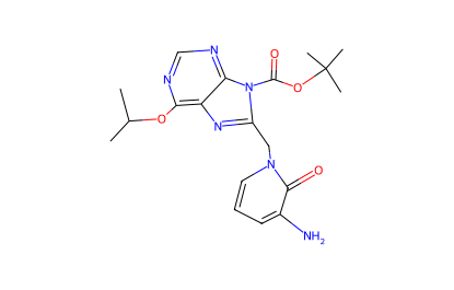 CC(C)Oc1ncnc2c1nc(Cn1cccc(N)c1=O)n2C(=O)OC(C)(C)C